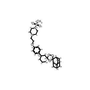 CS(=O)(=O)N1CCN(CCOc2ccc(C3CCC[C@]4(C3)OOC3(O4)C4CC5CC(C4)CC3C5)cc2)CC1